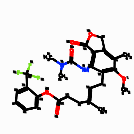 COc1c(C)c2c(c(NC(=O)N(C)C)c1C/C=C(\C)CCC(=O)Oc1ccccc1C(F)(F)F)C(=O)OC2